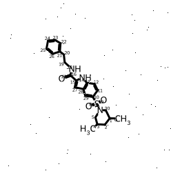 CC1CC(C)CN(S(=O)(=O)c2ccc3[nH]c(C(=O)NCCc4ccccc4)cc3c2)C1